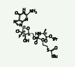 CC(C)OC(=O)[C@H](C)N[P@](=O)(OCCSC(=O)C(C)(C)C)OC[C@H]1O[C@@H](n2cnc3c(=O)[nH]c(N)nc32)[C@@](F)(Cl)[C@@H]1O